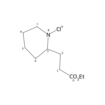 CCOC(=O)CCC1CCCCN1Cl